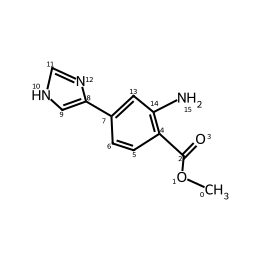 COC(=O)c1ccc(-c2c[nH]cn2)cc1N